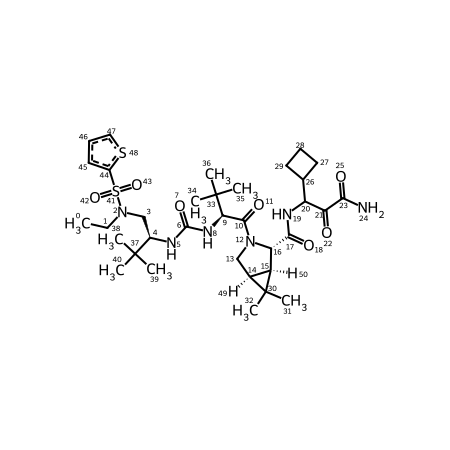 CCN(C[C@@H](NC(=O)N[C@H](C(=O)N1C[C@H]2[C@@H]([C@H]1C(=O)NC(C(=O)C(N)=O)C1CCC1)C2(C)C)C(C)(C)C)C(C)(C)C)S(=O)(=O)c1cccs1